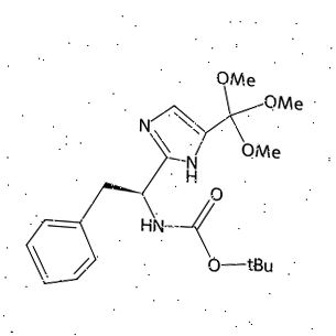 COC(OC)(OC)c1cnc([C@H](Cc2ccccc2)NC(=O)OC(C)(C)C)[nH]1